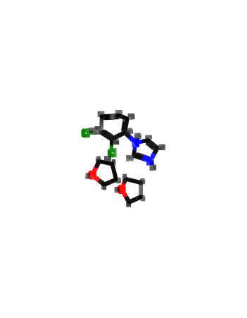 C1CCOC1.C1CCOC1.Clc1cccc(-n2ccnc2)c1Cl